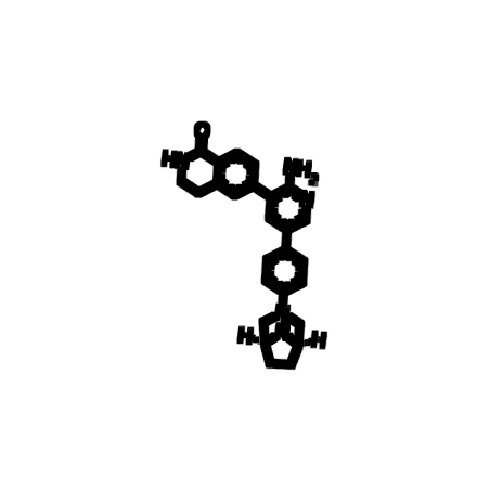 CN1[C@@H]2CC[C@H]1CN(c1ccc(-c3cnc(N)c(-c4ccc5c(c4)CCNC5=O)c3)cc1)C2